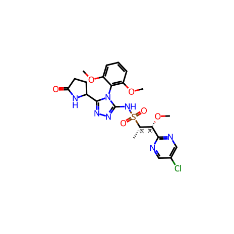 COc1cccc(OC)c1-n1c(NS(=O)(=O)[C@@H](C)[C@H](OC)c2ncc(Cl)cn2)nnc1C1CCC(=O)N1